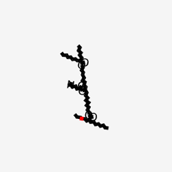 CCCCCCCCC(CCCCCC)C(=O)OCCCCCCCCCC(CCCCCCCCCOC(=O)C(CCCCCC)CCCCCCCC)OC(=O)CCCN(C)C